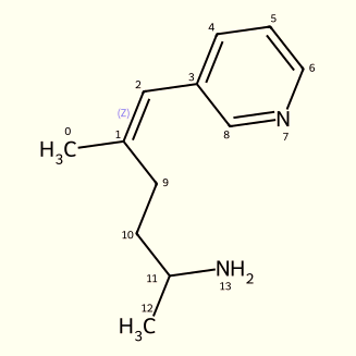 C/C(=C/c1cccnc1)CCC(C)N